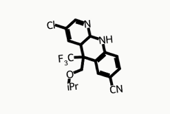 CC(C)OCC1(C(F)(F)F)c2cc(C#N)ccc2NC2N=CC(Cl)=CC21